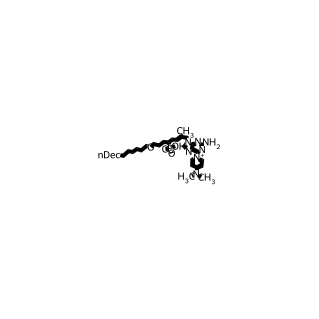 CCCCCCCCCCCCCCCCOCCCC(CC=C(C)Cn1cnc2c(-[n+]3ccc(N(C)C)cc3)nc(N)nc21)P(=O)([O-])O